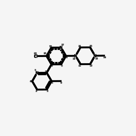 CC1=CCCN=C1c1cc(N2CCN(C)CC2)ncc1Cl